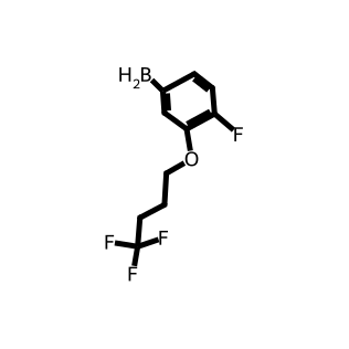 Bc1ccc(F)c(OCCCC(F)(F)F)c1